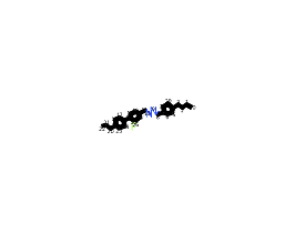 C=CCCc1ccc(C=NN=Cc2ccc(-c3ccc(CCC)cc3)c(F)c2)cc1